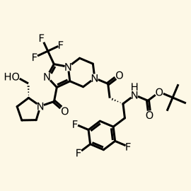 CC(C)(C)OC(=O)N[C@@H](CC(=O)N1CCn2c(C(F)(F)F)nc(C(=O)N3CCC[C@@H]3CO)c2C1)Cc1cc(F)c(F)cc1F